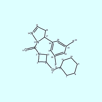 O=C(N1CC(OC2CCCCC2)C1)N1N=CCC1c1cc(F)cc(F)c1